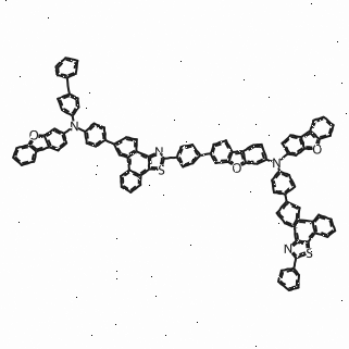 c1ccc(-c2ccc(N(c3ccc(-c4ccc5c(c4)c4ccccc4c4sc(-c6ccc(-c7ccc8c(c7)oc7cc(N(c9ccc(-c%10ccc%11c(c%10)c%10ccccc%10c%10sc(-c%12ccccc%12)nc%11%10)cc9)c9ccc%10c(c9)oc9ccccc9%10)ccc78)cc6)nc54)cc3)c3ccc4c(c3)oc3ccccc34)cc2)cc1